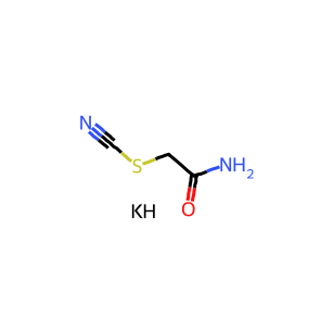 N#CSCC(N)=O.[KH]